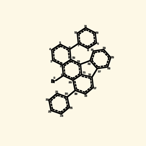 Brc1c2cccc(-c3ccccc3)c2c2c3c(ccc(-c4ccccc4)c13)-c1ccccc1-2